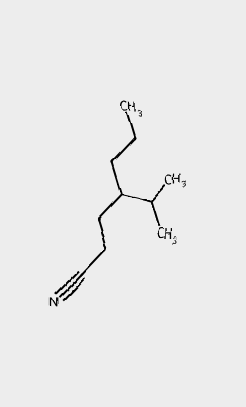 CCCC(CCC#N)C(C)C